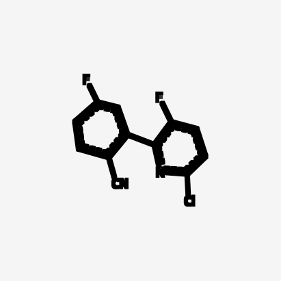 N#Cc1ccc(F)cc1-c1nc(Cl)ccc1F